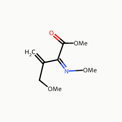 C=C(COC)C(=NOC)C(=O)OC